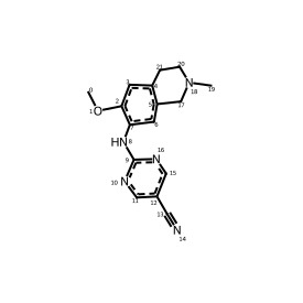 COc1cc2c(cc1Nc1ncc(C#N)cn1)CN(C)CC2